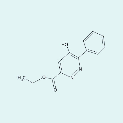 CCOC(=O)c1cc(O)c(-c2ccccc2)nn1